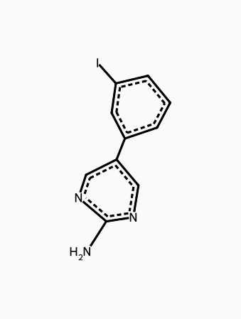 Nc1ncc(-c2cccc(I)c2)cn1